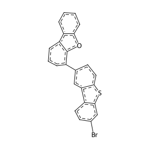 Brc1ccc2c(c1)sc1ccc(-c3cccc4c3oc3ccccc34)cc12